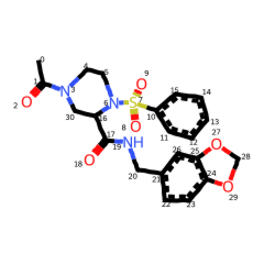 CC(=O)N1CCN(S(=O)(=O)c2ccccc2)C(C(=O)NCc2ccc3c(c2)OCO3)C1